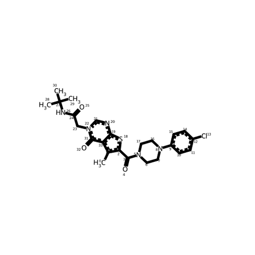 Cc1c(C(=O)N2CCN(c3ccc(Cl)cc3)CC2)sc2ncn(CC(=O)NC(C)(C)C)c(=O)c12